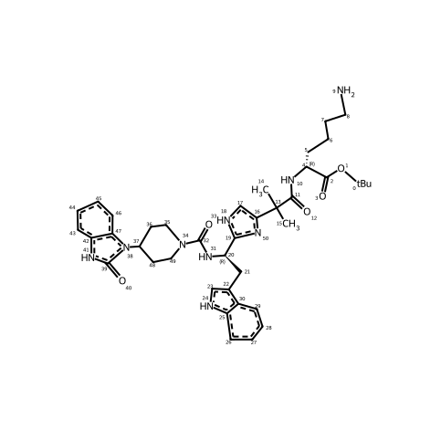 CC(C)(C)OC(=O)[C@@H](CCCCN)NC(=O)C(C)(C)c1c[nH]c([C@@H](Cc2c[nH]c3ccccc23)NC(=O)N2CCC(n3c(=O)[nH]c4ccccc43)CC2)n1